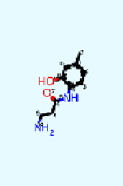 Cc1ccc(NC(=O)CCN)c(O)c1